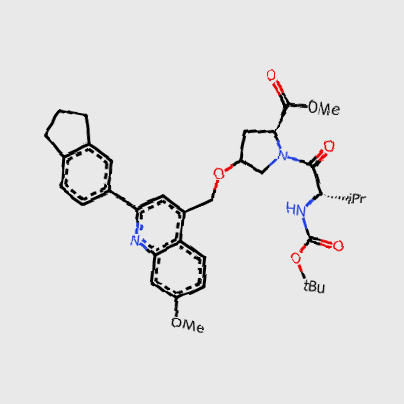 COC(=O)[C@@H]1CC(OCc2cc(-c3ccc4c(c3)CCC4)nc3cc(OC)ccc23)CN1C(=O)[C@@H](NC(=O)OC(C)(C)C)C(C)C